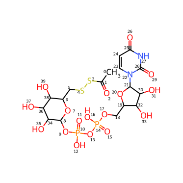 CC(=O)SSCC1OC(OP(=O)(O)OP(=O)(O)OCC2OC(n3ccc(=O)[nH]c3=O)C(O)C2O)C(O)C(O)C1O